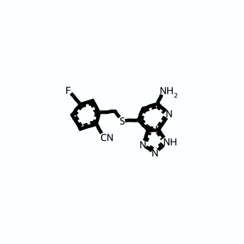 N#Cc1ccc(F)cc1CSc1cc(N)nc2[nH]nnc12